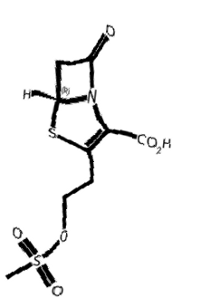 CS(=O)(=O)OCCC1=C(C(=O)O)N2C(=O)C[C@H]2S1